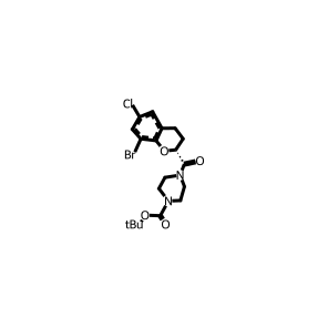 CC(C)(C)OC(=O)N1CCN(C(=O)[C@H]2CCc3cc(Cl)cc(Br)c3O2)CC1